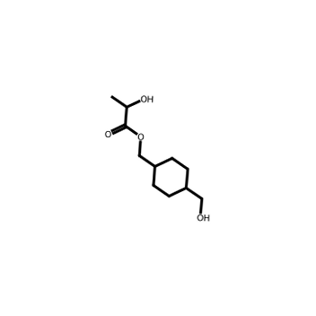 CC(O)C(=O)OCC1CCC(CO)CC1